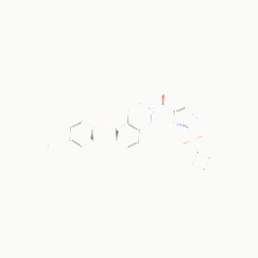 O=C(c1c[nH]c(S(=O)(=O)C2CCC2)n1)N1CCc2c(cccc2Oc2ccc(C(F)(F)F)cc2)C1